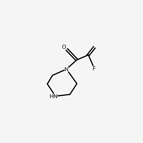 C=C(F)C(=O)N1CCNCC1